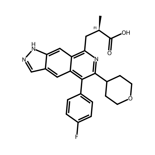 C[C@H](Cc1nc(C2CCOCC2)c(-c2ccc(F)cc2)c2cc3cn[nH]c3cc12)C(=O)O